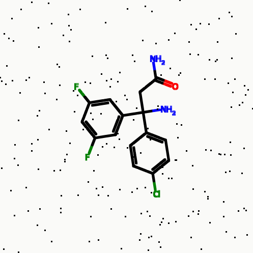 NC(=O)CC(N)(c1ccc(Cl)cc1)c1cc(F)cc(F)c1